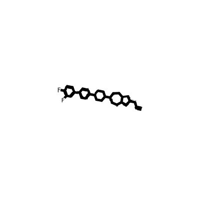 C=CCC1CC2CCC(C3CCC(c4ccc(-c5ccc(F)c(F)c5)cc4)CC3)CCC2C1